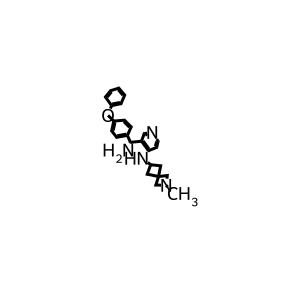 CN1CC2(CC(Nc3ccncc3C(N)c3ccc(Oc4ccccc4)cc3)C2)C1